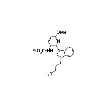 CCOC(=O)Nc1ccc(OC)nc1-n1cc(CCCN)c2ccccc21